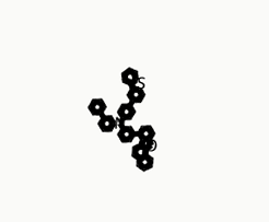 c1ccc(-c2cccc(N(c3ccc(-c4ccc5sc6ccccc6c5c4)cc3)c3cccc(-c4cccc5oc6c7ccccc7ccc6c45)c3)c2)cc1